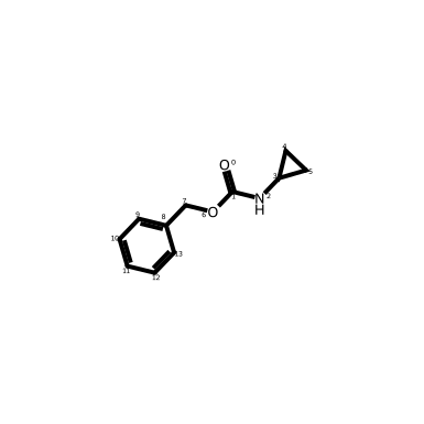 O=C(N[C]1CC1)OCc1ccccc1